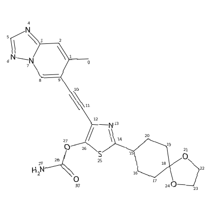 Cc1cc2ncnn2cc1C#Cc1nc(C2CCC3(CC2)OCCO3)sc1OC(N)=O